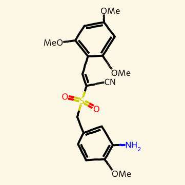 COc1cc(OC)c(C=C(C#N)S(=O)(=O)Cc2ccc(OC)c(N)c2)c(OC)c1